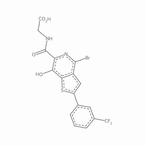 O=C(O)CNC(=O)c1nc(Br)c2cc(-c3cccc(C(F)(F)F)c3)sc2c1O